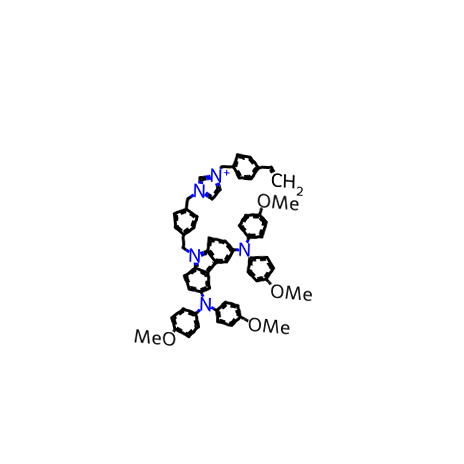 C=Cc1ccc(C[n+]2ccn(Cc3ccc(Cn4c5ccc(N(c6ccc(OC)cc6)c6ccc(OC)cc6)cc5c5cc(N(c6ccc(OC)cc6)c6ccc(OC)cc6)ccc54)cc3)c2)cc1